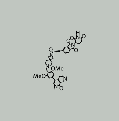 COc1cc(-c2cn(C)c(=O)c3cnccc23)cc(OC)c1CN1CCC2(CC1)CN(C(=O)C#Cc1ccc3c(c1)C(=O)N(C1CCC(=O)NC1=O)C3=O)C2